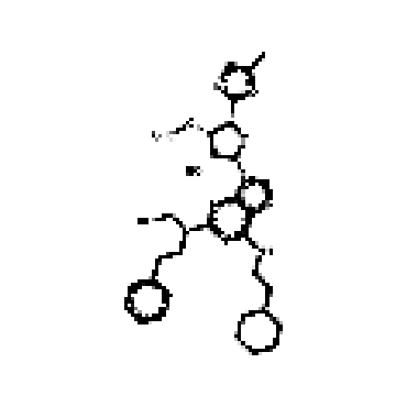 Cc1cnc([C@H]2O[C@@H](n3cnc4c(NCCC5CCCCC5)nc(N(CO)CCc5ccccc5)nc43)[C@H](O)[C@@H]2OC=O)o1